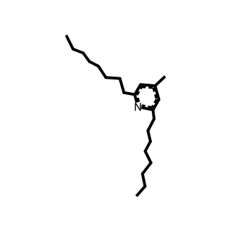 CCCCCCCCc1cc(C)cc(CCCCCCCC)n1